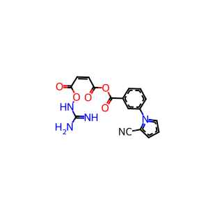 N#Cc1cccn1-c1cccc(C(=O)OC(=O)/C=C\C(=O)ONC(=N)N)c1